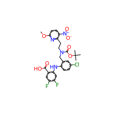 COc1ccc([N+](=O)[O-])c(CCN(Cc2cc(Cl)ccc2Nc2cc(F)c(F)cc2C(=O)O)C(=O)OC(C)(C)C)n1